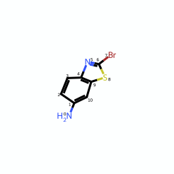 Nc1ccc2nc(Br)sc2c1